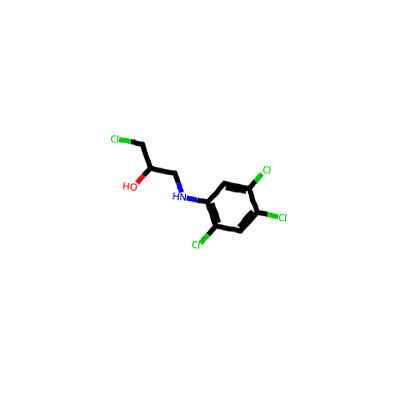 OC(CCl)CNc1cc(Cl)c(Cl)cc1Cl